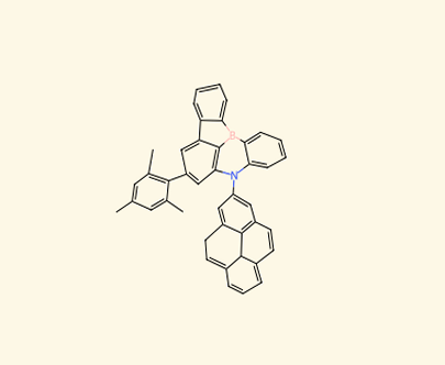 Cc1cc(C)c(-c2cc3c4c(c2)N(c2cc5c6c(c2)CC=C2C=CC=C(C=C5)C26)c2ccccc2B4c2ccccc2-3)c(C)c1